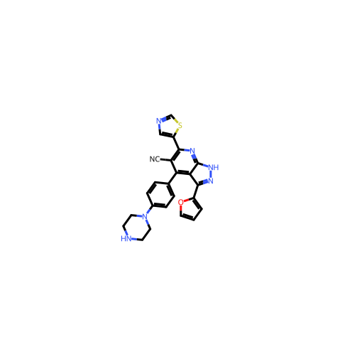 N#Cc1c(-c2cncs2)nc2[nH]nc(-c3ccco3)c2c1-c1ccc(N2CCNCC2)cc1